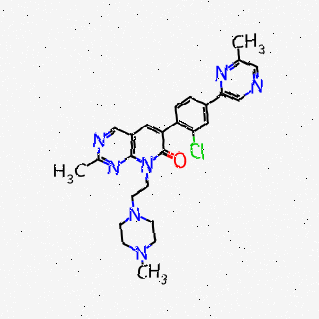 Cc1cncc(-c2ccc(-c3cc4cnc(C)nc4n(CCN4CCN(C)CC4)c3=O)c(Cl)c2)n1